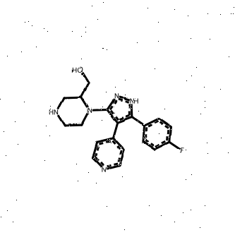 OCC1CNCCN1c1n[nH]c(-c2ccc(F)cc2)c1-c1ccncc1